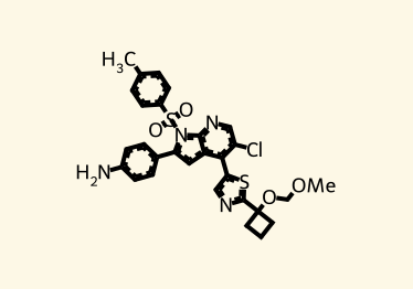 COCOC1(c2ncc(-c3c(Cl)cnc4c3cc(-c3ccc(N)cc3)n4S(=O)(=O)c3ccc(C)cc3)s2)CCC1